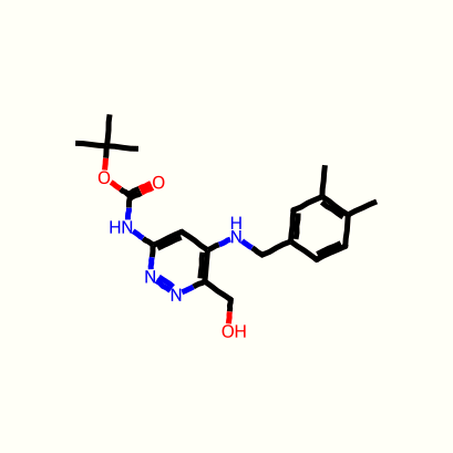 Cc1ccc(CNc2cc(NC(=O)OC(C)(C)C)nnc2CO)cc1C